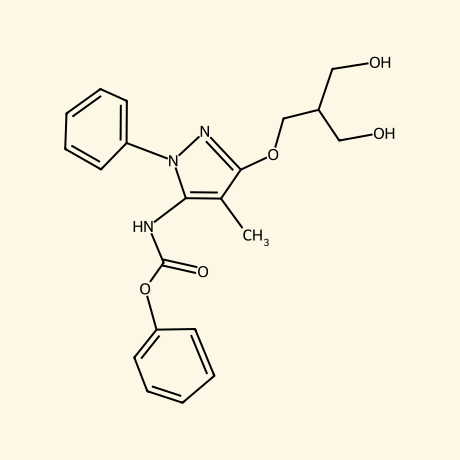 Cc1c(OCC(CO)CO)nn(-c2ccccc2)c1NC(=O)Oc1ccccc1